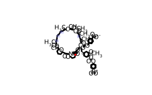 CO[C@H]1CC(=O)[C@H](C)C[C@H](C)/C=C/C=C/C=C(\C)[C@@H](OC)CC2CCCC(O2)C(=O)C(=O)N2CCCC[C@H]2C(=O)O[C@H](CC[C@@H]2CC[C@@H](OC(=O)Oc3ccc([N+](=O)[O-])cc3)[C@H](OC)C2)C[C@@H](OC(=O)Oc2ccc([N+](=O)[O-])cc2)[C@H](C)/C=C/1C